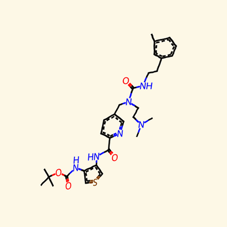 Cc1cccc(CCNC(=O)N(CCN(C)C)Cc2ccc(C(=O)Nc3cscc3NC(=O)OC(C)(C)C)nc2)c1